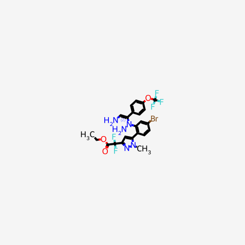 CCOC(=O)C(F)(F)c1cc(-c2ccc(Br)cc2N(N)/C(=C\N)c2ccc(OC(F)(F)F)cc2)n(C)n1